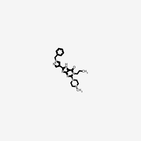 CCCn1c(N2CCN(C)CC2)nc2nc(-c3cnn(Cc4ccccc4)c3)[nH]c2c1=O